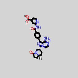 COC(=O)c1ccnc(NC(=O)c2ccc(-c3nc([C@@H]4CC[C@H]5CCC(=O)N5C4)n4ccnc(N)c34)cc2)c1